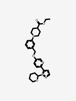 CCOC(=O)C1CCN(c2cccc(COc3ccc(-c4ccnn4C4CCCCO4)nc3)c2)CC1